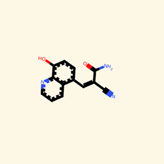 N#CC(=Cc1ccc(O)c2ncccc12)C(N)=O